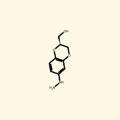 NNc1ccc2c(c1)OC[C@H](CO)O2